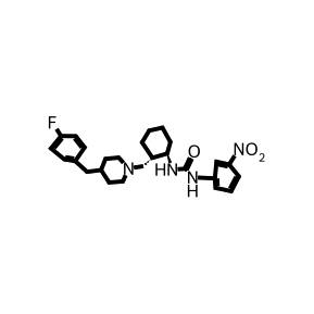 O=C(Nc1cccc([N+](=O)[O-])c1)N[C@@H]1CCCC[C@H]1CN1CCC(Cc2ccc(F)cc2)CC1